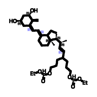 C=C1/C(=C\C=C2/CCC[C@@]3(C)C2CC[C@@H]3[C@H](C)/C=C/C(CCCO[PH](=O)OCC)CCCO[PH](=O)OCC)C[C@@H](O)C[C@@H]1O